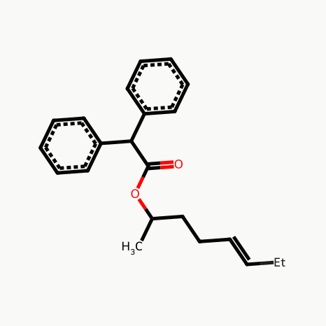 CCC=CCCC(C)OC(=O)C(c1ccccc1)c1ccccc1